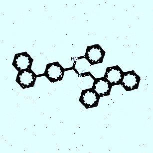 C(=N\C(Nc1ccccc1)c1ccc(-c2cccc3ccccc23)cc1)/c1c2ccccc2cc2c1ccc1ccccc12